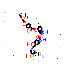 CCOCCOc1ccc2c(COc3cccc4[nH]c(OC(=O)NC5CCC(O)(CCN6CC[C@H](O)[C@@H](C)C6)CC5)cc34)coc2c1